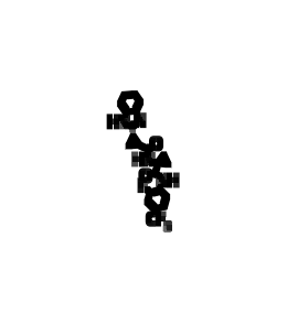 O=C(NC1(C(=O)Nc2ccc(C(F)(F)F)cc2F)CC1)C1C[C@@H]1c1nc2ccccc2[nH]1